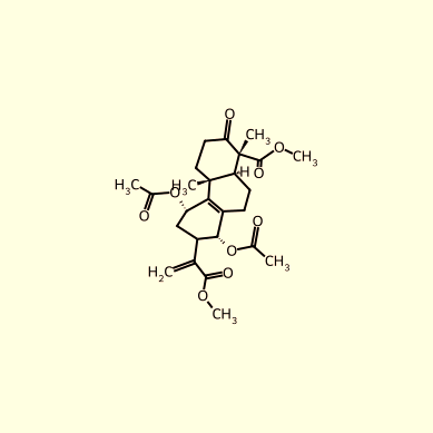 C=C(C(=O)OC)C1C[C@H](OC(C)=O)C2=C(CC[C@@H]3[C@@](C)(C(=O)OC)C(=O)CC[C@@]23C)[C@@H]1OC(C)=O